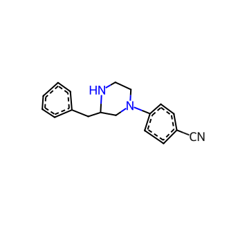 N#Cc1ccc(N2CCNC(Cc3ccccc3)C2)cc1